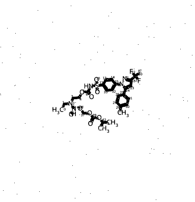 CCN(CCOC(=O)NS(=O)(=O)c1ccc(-n2nc(C(F)(F)F)cc2-c2ccc(C)cc2)cc1)[NH+]([O-])OCOC(=O)OC(C)C